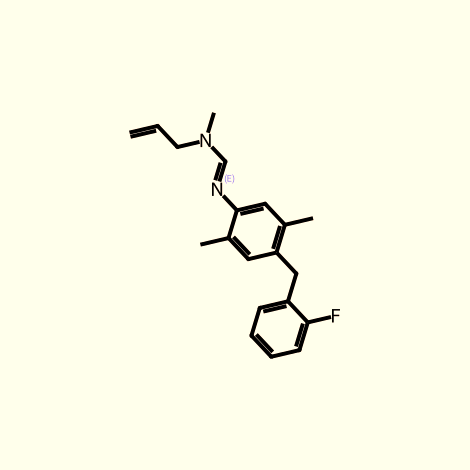 C=CCN(C)/C=N/c1cc(C)c(Cc2ccccc2F)cc1C